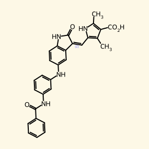 Cc1[nH]c(/C=C2\C(=O)Nc3ccc(Nc4cccc(NC(=O)c5ccccc5)c4)cc32)c(C)c1C(=O)O